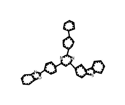 c1ccc(-c2ccc(-c3nc(-c4ccc(-c5nc6ccccc6o5)cc4)cc(-c4ccc5sc6ccccc6c5c4)n3)cc2)cc1